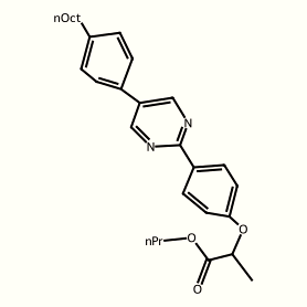 CCCCCCCCc1ccc(-c2cnc(-c3ccc(OC(C)C(=O)OCCC)cc3)nc2)cc1